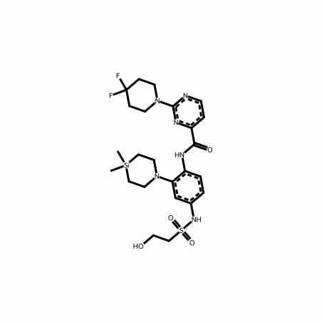 C[Si]1(C)CCN(c2cc(NS(=O)(=O)CCO)ccc2NC(=O)c2ccnc(N3CCC(F)(F)CC3)n2)CC1